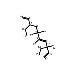 C=CC([CH]C(C)(C)C(C)=CC(C)(C=C)CC)CC